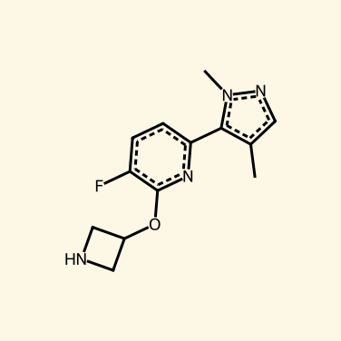 Cc1cnn(C)c1-c1ccc(F)c(OC2CNC2)n1